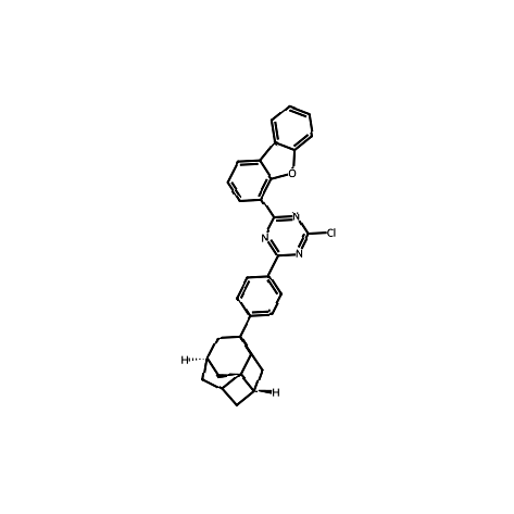 Clc1nc(-c2ccc(C34C[C@@H]5CC6C[C@@H](C3)[C@@]6(C5)C4)cc2)nc(-c2cccc3c2oc2ccccc23)n1